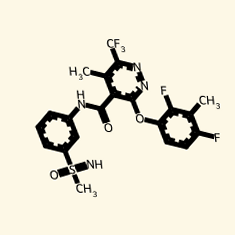 Cc1c(F)ccc(Oc2nnc(C(F)(F)F)c(C)c2C(=O)Nc2cccc(S(C)(=N)=O)c2)c1F